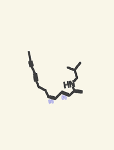 C=C(/C=C/C=C\CCC#CC#CC)NCC(C)C